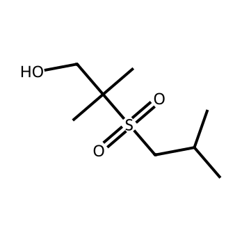 CC(C)CS(=O)(=O)C(C)(C)CO